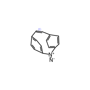 [N-]=[N+]1c2ccc(cc2)/C=C/c2ccc1cc2